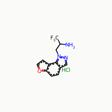 Cl.NC(Cn1ncc2ccc3occc3c21)C(F)(F)F